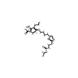 CCCc1c(OCCCCn2nnc(CCCC(=O)OCC)n2)ccc(C(C)=O)c1O